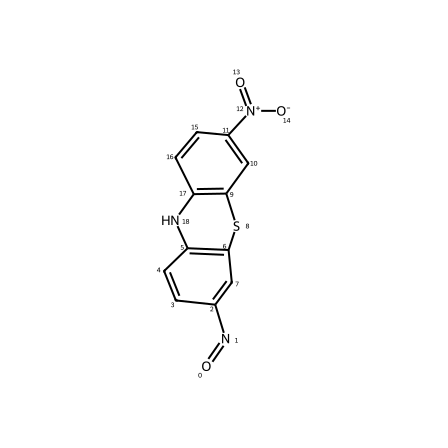 O=Nc1ccc2c(c1)Sc1cc([N+](=O)[O-])ccc1N2